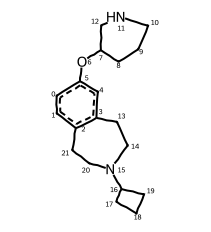 c1cc2c(cc1OC1CCCNC1)CCN(C1CCC1)CC2